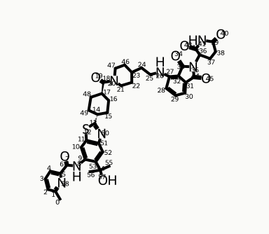 Cc1cccc(C(=O)Nc2cc3sc([C@H]4CC[C@H](C(=O)N5CCC(CCNc6cccc7c6C(=O)N(C6CCC(=O)NC6=O)C7=O)CC5)CC4)nc3cc2C(C)(C)O)n1